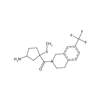 CSC1(C(=O)N2CCc3ccc(C(F)(F)F)cc3C2)CCC(N)C1